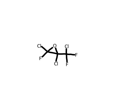 FC(F)(Cl)C1(Cl)OC1(F)Cl